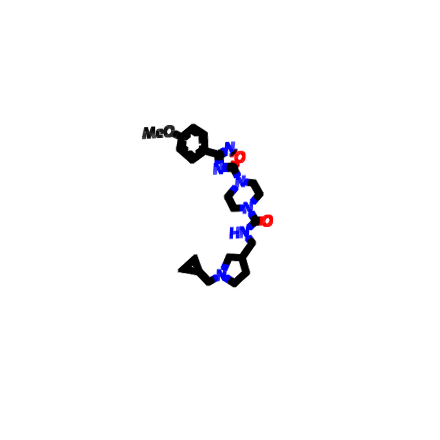 COc1ccc(-c2noc(N3CCN(C(=O)NCC4CCN(CC5CC5)C4)CC3)n2)cc1